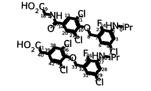 CC(C)Nc1cc(Cl)cc(COc2c(Cl)cc(C(=O)NCC(=O)O)cc2Cl)c1F.CC(C)Nc1cc(Cl)cc(COc2c(Cl)cc(CC(=O)O)cc2Cl)c1F